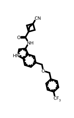 N#CC12CC(C(=O)Nc3c[nH]c4ccc(COCc5ccc(C(F)(F)F)cc5)cc34)(C1)C2